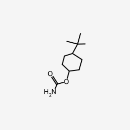 CC(C)(C)C1CCC(OC(N)=O)CC1